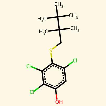 CC(C)(C)C(C)(C)CSc1c(Cl)cc(O)c(Cl)c1Cl